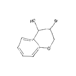 OC1c2ccccc2OCC1Br